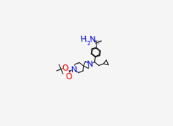 C[C@H](N)c1ccc(C(CC2CC2)N2CC3(CCN(C(=O)OC(C)(C)C)CC3)C2)cc1